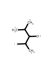 CC(C)C([O])C(C)I